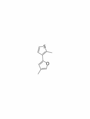 Cc1coc(-c2ccsc2C)c1